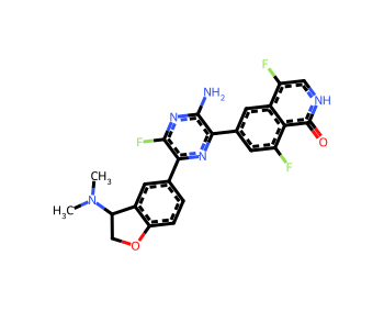 CN(C)C1COc2ccc(-c3nc(-c4cc(F)c5c(=O)[nH]cc(F)c5c4)c(N)nc3F)cc21